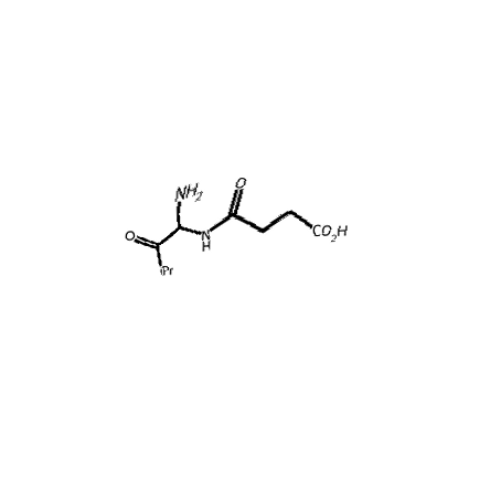 CC(C)C(=O)C(N)NC(=O)CCC(=O)O